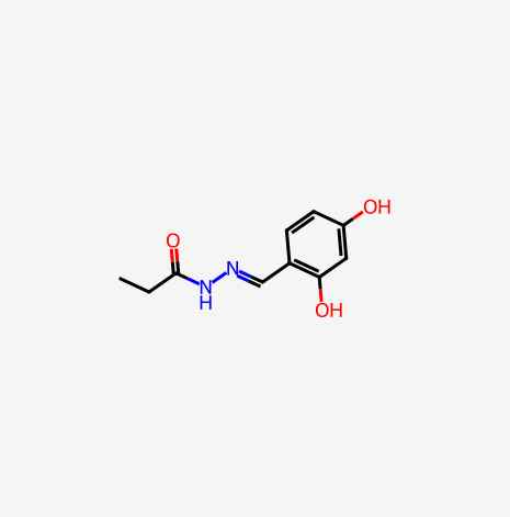 CCC(=O)N/N=C/c1ccc(O)cc1O